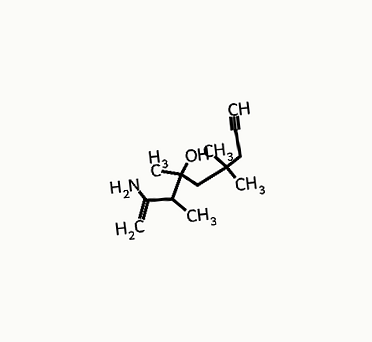 C#CCC(C)(C)CC(C)(O)C(C)C(=C)N